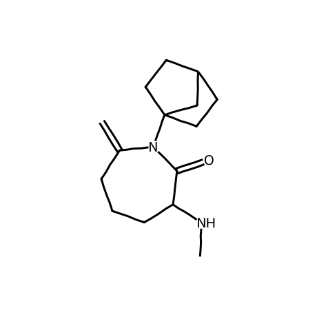 C=C1CCCC(NC)C(=O)N1C12CCC(CC1)C2